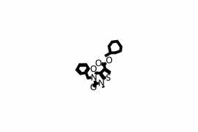 Cn1c(=O)n(Cc2ccccc2)c(=O)c2c(C(=O)OCC3CCCCCC3)csc21